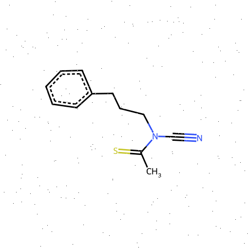 CC(=S)N(C#N)CCCc1ccccc1